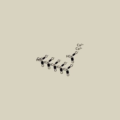 [Ca+2].[Ca+2].[Ca+2].[O]=[GeH][O-].[O]=[GeH][O-].[O]=[GeH][O-].[O]=[GeH][O-].[O]=[GeH][O-].[O]=[GeH][O-]